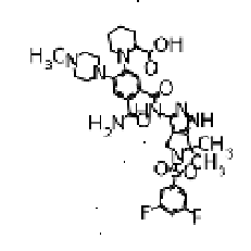 CN1CCN(c2cc(C(N)=O)c(C(=O)Nc3n[nH]c4c3CN(S(=O)(=O)c3cc(F)cc(F)c3)C4(C)C)cc2N2CCCCC2C(=O)O)CC1